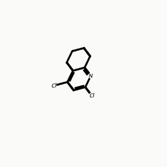 Clc1cc(Cl)c2c(n1)CCCC2